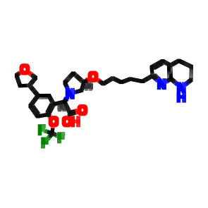 O=C(O)[C@@H](c1cc(C2CCOC2)ccc1OC(F)(F)F)N1CC[C@@H](OCCCCCc2ccc3c(n2)NCCC3)C1